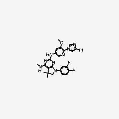 CNc1nc(Nc2cnc(-n3cnc(Cl)c3)c(OC)c2)nc2c1C(C)(C)CN2c1ccc(F)c(F)c1